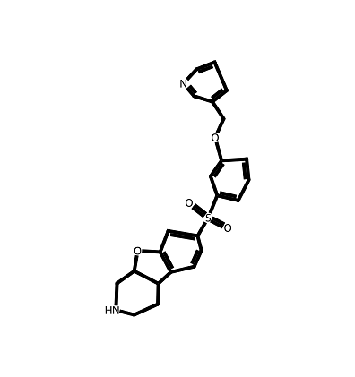 O=S(=O)(c1cccc(OCc2cccnc2)c1)c1ccc2c(c1)OC1CNCCC21